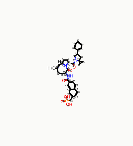 C/C1=C/[C@H]2CC[C@@H](C(=O)N3CC(c4ccccc4)CC34CC4)N2C(=O)[C@@H](NC(=O)c2ccc3ccc(CP(=O)(O)O)cc3c2)CC1